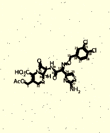 CC(=O)OCC1=C(C(=O)O)N2C(=O)[C@@H](NC(=O)C(=NOCc3ccc(Cl)c(Cl)c3)c3csc(N)n3)[C@H]2SC1